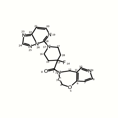 O=C(N1CCOc2ccncc2C1)C1(F)CCN(c2nccc3ncnn23)CC1